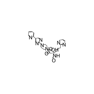 O=CNC(O)(CCCc1ncccn1)CS(=O)(=O)N1CCN(c2ncc(-c3ccccn3)cn2)CC1